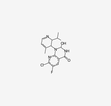 CC1=CC=NC(C(C)C)C1N1c2nc(Cl)c(F)cc2C(=O)NC1O